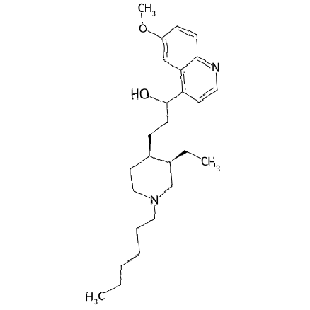 CCCCCCN1CC[C@@H](CCC(O)c2ccnc3ccc(OC)cc23)[C@@H](CC)C1